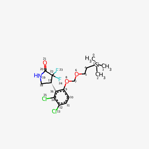 C[Si](C)(C)CCOCOc1ccc(Cl)c(Cl)c1[C@@H]1CNC(=O)C1(F)F